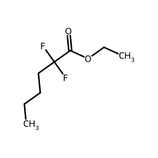 CCCCC(F)(F)C(=O)OCC